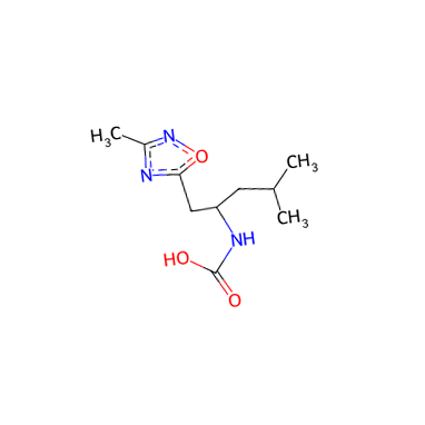 Cc1noc(CC(CC(C)C)NC(=O)O)n1